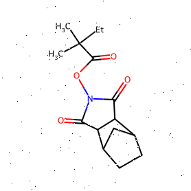 CCC(C)(C)C(=O)ON1C(=O)C2C3CCC(C3)C2C1=O